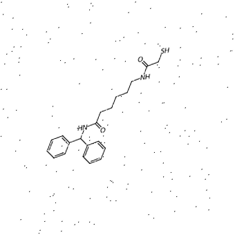 O=C(CS)NCCCCCC(=O)NC(c1ccccc1)c1ccccc1